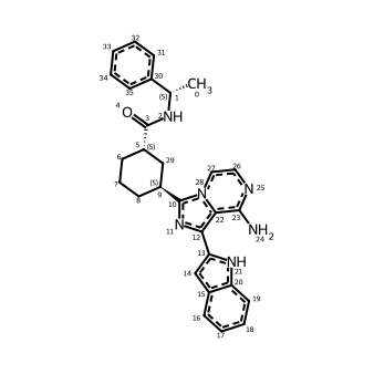 C[C@H](NC(=O)[C@H]1CCC[C@H](c2nc(-c3cc4ccccc4[nH]3)c3c(N)nccn23)C1)c1ccccc1